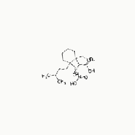 CCC1(CCC(C)C)CCCCC1(CC)C(CC(=O)O)C(=O)O